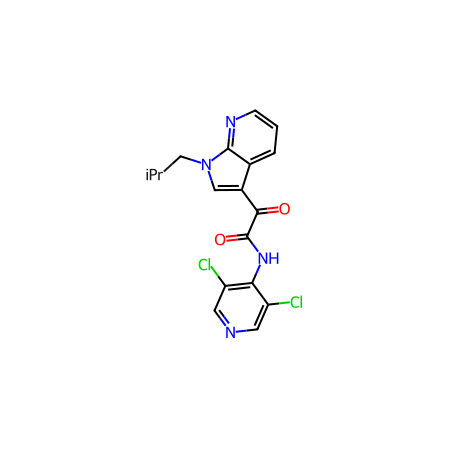 CC(C)Cn1cc(C(=O)C(=O)Nc2c(Cl)cncc2Cl)c2cccnc21